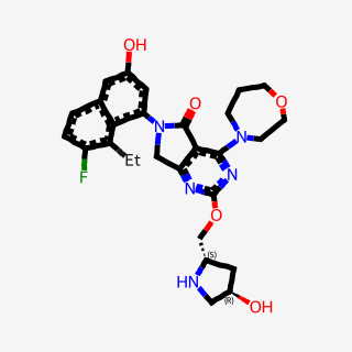 CCc1c(F)ccc2cc(O)cc(N3Cc4nc(OC[C@@H]5C[C@@H](O)CN5)nc(N5CCCOCC5)c4C3=O)c12